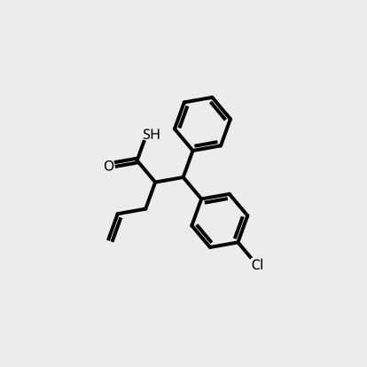 C=CCC(C(=O)S)C(c1ccccc1)c1ccc(Cl)cc1